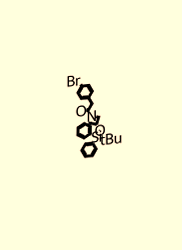 CC(C)(C)[Si](OC1CN(C(=O)Cc2ccc(Br)cc2)C1)(c1ccccc1)c1ccccc1